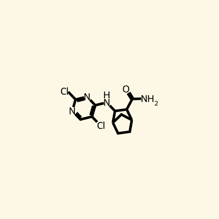 NC(=O)C1C2CCC(C2)C1Nc1nc(Cl)ncc1Cl